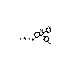 CCCCCOc1ccc2nc(-c3cccnc3)n(-c3ccc(F)cc3)c2c1